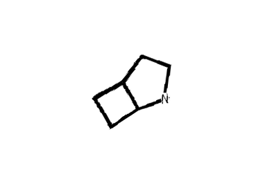 C1CC2CCC2[N]1